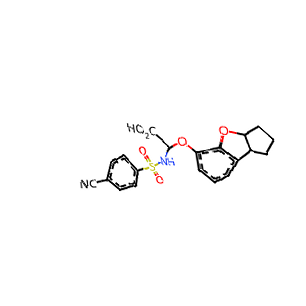 N#Cc1ccc(S(=O)(=O)NC(Oc2cccc3c2OC2CCCC32)C(=O)O)cc1